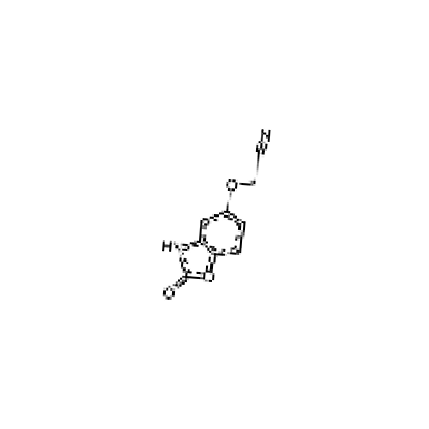 N#CCOc1ccc2oc(=O)[nH]c2c1